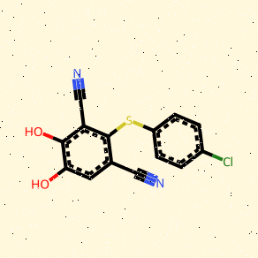 N#Cc1cc(O)c(O)c(C#N)c1Sc1ccc(Cl)cc1